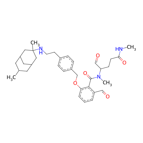 CNC(=O)CCC(C=O)N(C)C(=O)c1c(C=O)cccc1OCc1ccc(CCNC2(C)CC3CC(C)CC(C3)C2)cc1